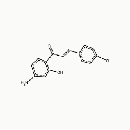 Nc1ccc(C(=O)/C=C/c2ccc(Cl)cc2)c(O)c1